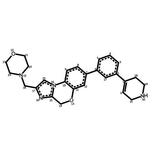 C1=C(c2cccc(-c3ccc4c(c3)OCc3nc(CN5CCOCC5)cn3-4)c2)CCNC1